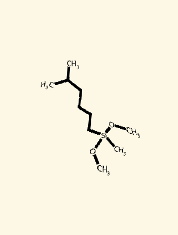 CO[Si](C)(CCCCC(C)C)OC